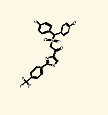 O=C(CS(=O)(=O)C(c1ccc(Cl)cc1)c1ccc(Cl)cc1)c1csc(-c2ccc(C(F)(F)F)cc2)n1